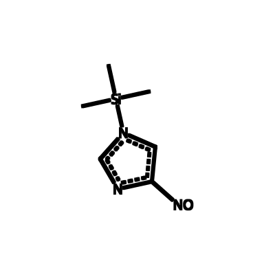 C[Si](C)(C)n1cnc(N=O)c1